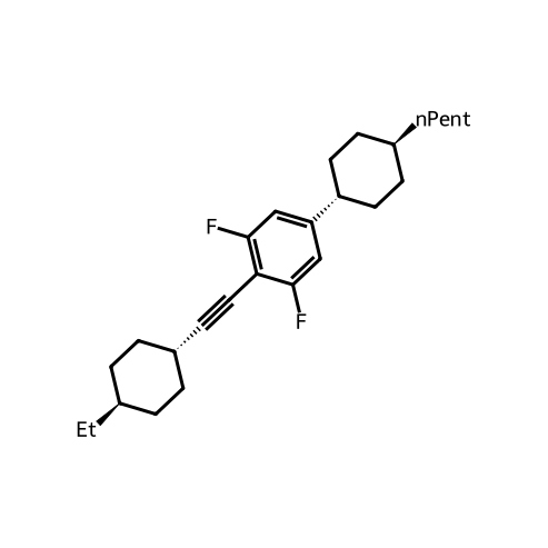 CCCCC[C@H]1CC[C@H](c2cc(F)c(C#C[C@H]3CC[C@H](CC)CC3)c(F)c2)CC1